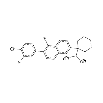 CCCC(CCC)C1(c2ccc3c(F)c(-c4ccc(Cl)c(F)c4)ccc3c2)CCCCC1